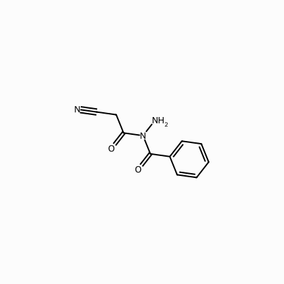 N#CCC(=O)N(N)C(=O)c1ccccc1